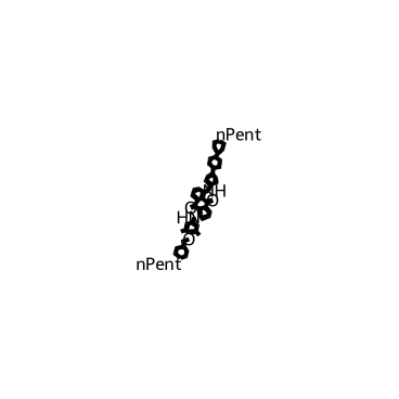 CCCCCC1CCC(COc2c(C)cc(Nc3cccc4c3C(=O)c3cccc(Nc5ccc(C6CCC(C7CCC(CCCCC)CC7)CC6)cc5)c3C4=O)cc2C)CC1